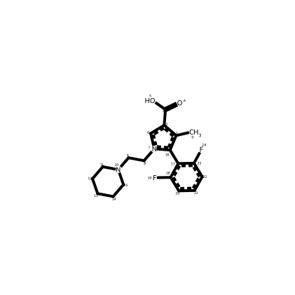 Cc1c(C(=O)O)cn(CCN2CCCCC2)c1-c1c(F)cccc1F